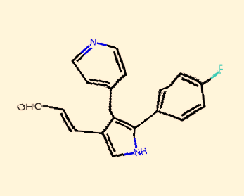 O=CC=Cc1c[nH]c(-c2ccc(F)cc2)c1-c1ccncc1